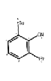 C[C](C)c1cccc(C(C)(C)C)c1C#N